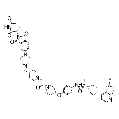 C[C@@H](C(=O)Nc1ccc(OC2CCN(C(=O)CN3CCC(CN4CCN(c5ccc6c(c5)C(=O)N(C5CCC(=O)NC5=O)C6=O)CC4)CC3)CC2)cc1)[C@H]1CC[C@@H](c2ccnc3ccc(F)cc32)CC1